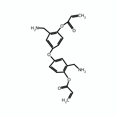 C=CC(=O)Oc1ccc(Oc2ccc(OC(=O)C=C)c(CN)c2)cc1CN